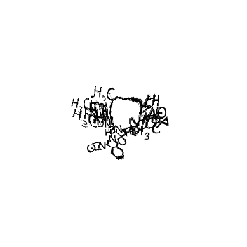 C[C@@H]1CC/C=C\[C@@H]2C[C@@]2(C(=O)NS(=O)(=O)C2(C)CC2)NC(=O)[C@@H]2C[C@@H](Oc3ncc(N4CCOCC4)c4ccccc34)CN2C(=O)[C@@H](NC(=O)OC(C)(C)C(C)(F)F)[C@H](C)C1